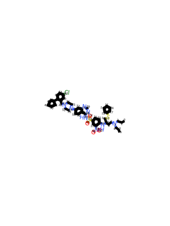 CCCN(CCC)CCC(CSc1ccccc1)Nc1ccc(S(=O)(=O)Nc2ncnc3cc(N4CCN(Cc5cc(Cl)ccc5-c5ccccc5)CC4)ccc23)cc1[N+](=O)[O-]